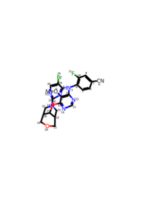 COc1c(Nc2ccc(C#N)cc2F)ncnc1OC1C2COCC1CN(c1ncc(Br)cn1)C2